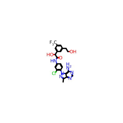 Cc1nn(-c2ccc(NC(=O)C(O)c3cc(CCO)cc(C(F)(F)F)c3)cc2Cl)c2c(N)ncnc12